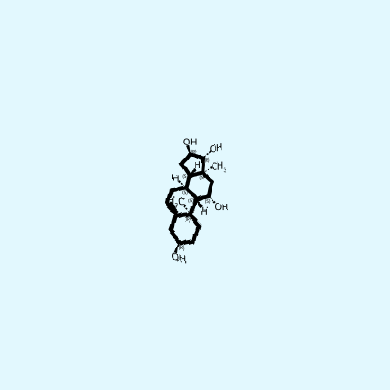 C[C@]12C[C@H](O)[C@H]3[C@@H](CC=C4C[C@H](O)CC[C@@]43C)[C@@H]1C[C@@H](O)[C@@H]2O